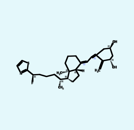 C=C1/C(=C\C=C2/CCC[C@]3(C)[C@@H]([C@H](C)CCC[C@@H](F)c4nccs4)CC[C@@H]23)C[C@@H](O)C[C@@H]1O